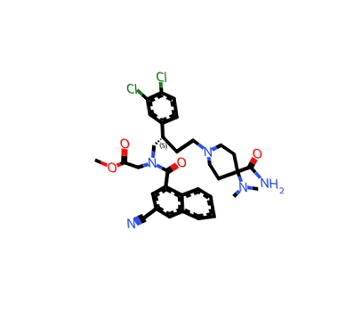 COC(=O)CN(C[C@@H](CCN1CCC(C(N)=O)(N(C)C)CC1)c1ccc(Cl)c(Cl)c1)C(=O)c1cc(C#N)cc2ccccc12